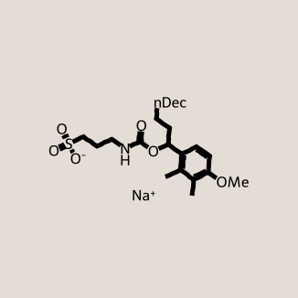 CCCCCCCCCCCCC(OC(=O)NCCCS(=O)(=O)[O-])c1ccc(OC)c(C)c1C.[Na+]